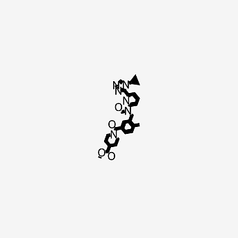 COC(=O)C1CCN(C(=O)c2ccc(C)c(CN(C=O)c3cccc(-c4nncn4C4CC4)n3)c2)CC1